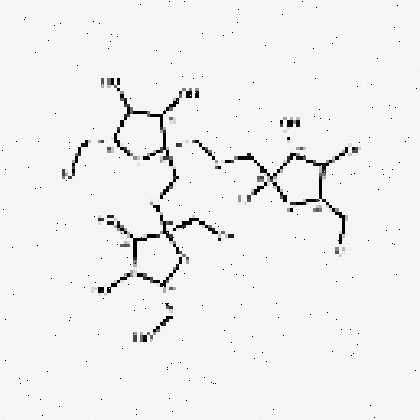 OC[C@H]1O[C@](COC[C@@]2(O)O[C@H](CO)C(O)[C@H]2O)(CO[C@]2(CO)O[C@H](CO)C(O)[C@H]2O)[C@H](O)C1O